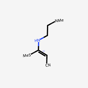 CNCCN/C(=C/C#N)SC